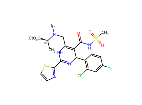 CCOC(=O)[C@H](C)N(CC)CC1=C(C(=O)NS(C)(=O)=O)C(c2ccc(F)cc2Cl)N=C(c2nccs2)N1